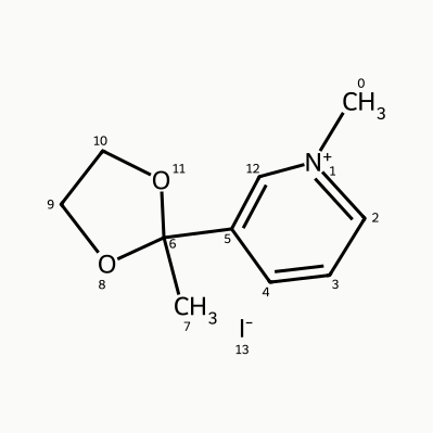 C[n+]1cccc(C2(C)OCCO2)c1.[I-]